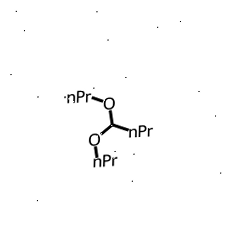 CC[CH]OC(CCC)OCCC